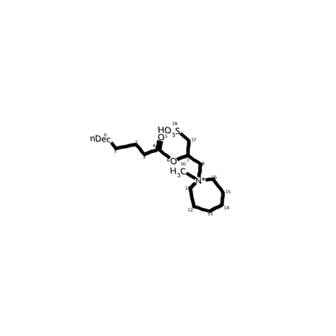 CCCCCCCCCCCCCC(=O)OC(C[N+]1(C)CCCCCC1)CS(=O)(=O)O